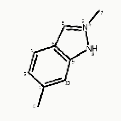 Cc1ccc2c[n+](C)[nH]c2c1